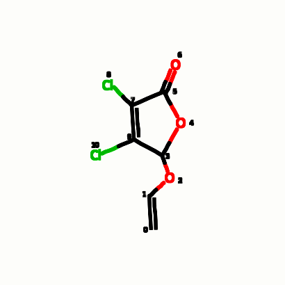 C=COC1OC(=O)C(Cl)=C1Cl